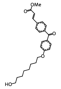 COC(=O)C=Cc1ccc(C(=O)c2ccc(OCCCCCCCCO)cc2)cc1